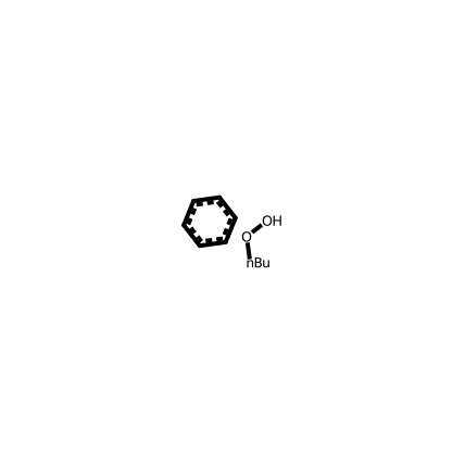 CCCCOO.c1ccccc1